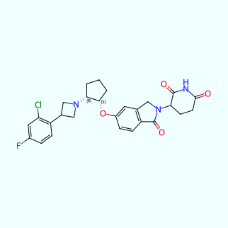 O=C1CCC(N2Cc3cc(O[C@H]4CCC[C@H]4N4CC(c5ccc(F)cc5Cl)C4)ccc3C2=O)C(=O)N1